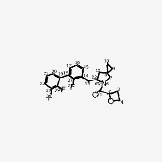 O=C([C@H]1CCO1)N1CC2(CC2)C[C@@H]1Cc1cccc(-c2cccc(F)c2F)c1F